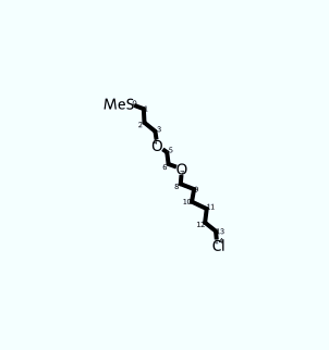 CSCCCOCCOCCCCCCCl